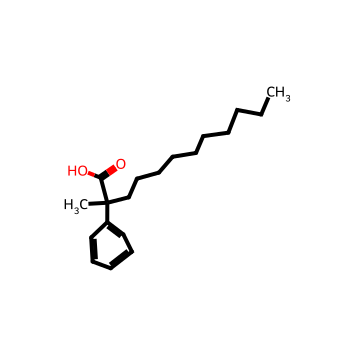 CCCCCCCCCCC(C)(C(=O)O)c1ccccc1